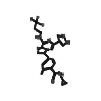 Cc1cc(-c2cnc3c(NCCC(F)(F)F)nc(-c4cn[nH]c4)cn23)ccc1C(=O)NC1CC1